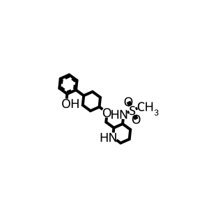 CS(=O)(=O)NC1CCCNC1COC1CCC(c2ccccc2O)CC1